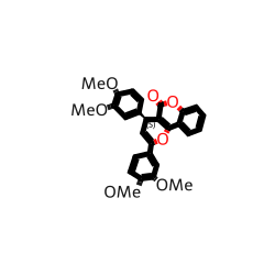 COc1ccc(C2=C[C@@H](c3ccc(OC)c(OC)c3)c3c(c4ccccc4oc3=O)O2)cc1OC